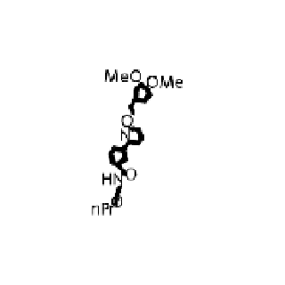 CCCOCCNC(=O)c1cccc(-c2cccc(OCCc3ccc(OC)c(OC)c3)n2)c1